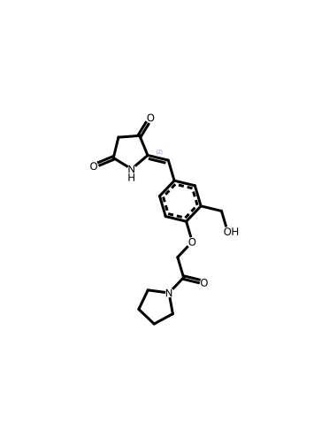 O=C1CC(=O)/C(=C/c2ccc(OCC(=O)N3CCCC3)c(CO)c2)N1